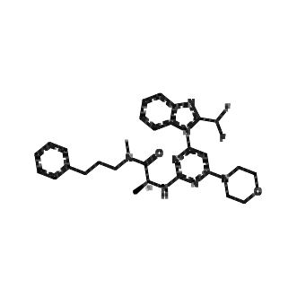 C[C@H](Nc1nc(N2CCOCC2)cc(-n2c(C(F)F)nc3ccccc32)n1)C(=O)N(C)CCCc1ccccc1